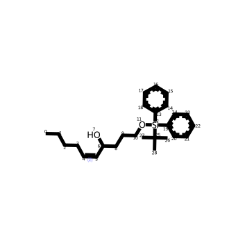 CCCC/C=C\C(O)CCCO[Si](c1ccccc1)(c1ccccc1)C(C)(C)C